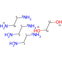 NCCN.NCCN.NCCN.OCCO